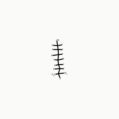 [CH2]CCC(F)(F)C(F)(F)C(F)(F)C(F)(F)C(F)(F)C(F)(F)C(F)(C(F)(F)F)C(F)(F)F